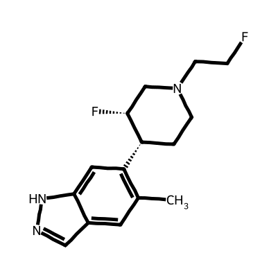 Cc1cc2cn[nH]c2cc1[C@H]1CCN(CCF)C[C@H]1F